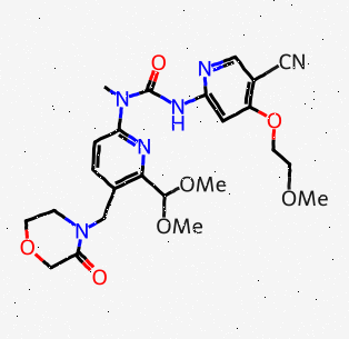 COCCOc1cc(NC(=O)N(C)c2ccc(CN3CCOCC3=O)c(C(OC)OC)n2)ncc1C#N